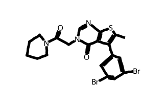 Cc1sc2ncn(CC(=O)N3CCCCC3)c(=O)c2c1-c1cc(Br)cc(Br)c1